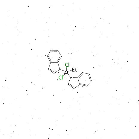 C[CH2][Zr]([Cl])([Cl])([CH]1C=Cc2ccccc21)[CH]1C=Cc2ccccc21